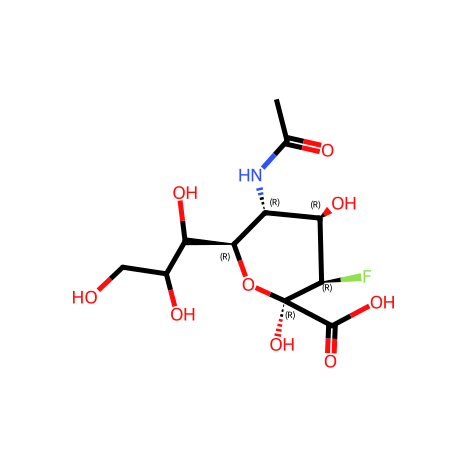 CC(=O)N[C@@H]1[C@@H](O)[C@@H](F)[C@@](O)(C(=O)O)O[C@H]1C(O)C(O)CO